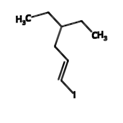 CCC(CC)CC=CI